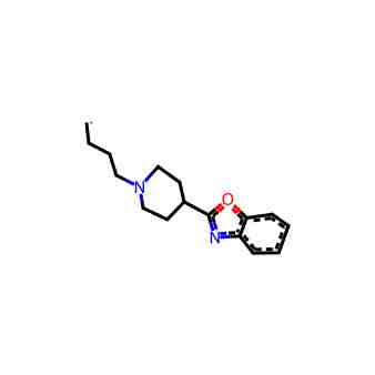 [CH2]CCCN1CCC(c2nc3ccccc3o2)CC1